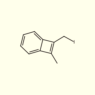 CC1=C(CI)c2ccccc21